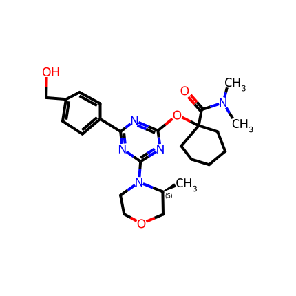 C[C@H]1COCCN1c1nc(OC2(C(=O)N(C)C)CCCCC2)nc(-c2ccc(CO)cc2)n1